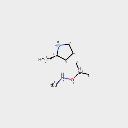 C[SiH](C)ONC(C)(C)C.O=C(O)[C@@H]1CCCN1